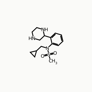 CS(=O)(=O)N(CC1CC1)c1ccccc1C1CNCCN1